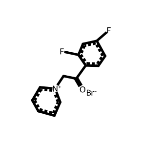 O=C(C[n+]1ccccc1)c1ccc(F)cc1F.[Br-]